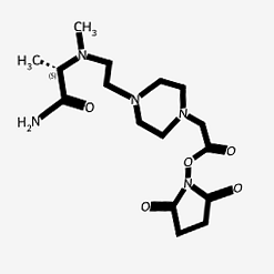 C[C@@H](C(N)=O)N(C)CCN1CCN(CC(=O)ON2C(=O)CCC2=O)CC1